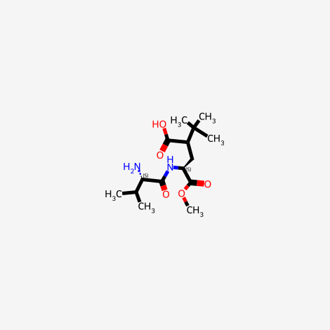 COC(=O)[C@H](CC(C(=O)O)C(C)(C)C)NC(=O)[C@@H](N)C(C)C